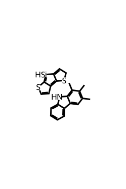 C1=C2[SiH]=c3sccc3=C2SC1.Cc1cc2c([nH]c3ccccc32)c(C)c1C